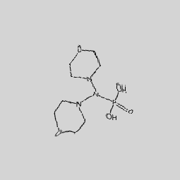 O=P(O)(O)N(N1CCOCC1)N1CCOCC1